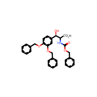 O=C(NC(C(=O)O)[C@H](O)c1ccc(OCc2ccccc2)c(OCc2ccccc2)c1)OCc1ccccc1